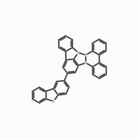 c1ccc2c(c1)B1N(c3ccccc3-2)c2cc(-c3ccc4sc5ccccc5c4c3)cc3c4ccccc4n1c23